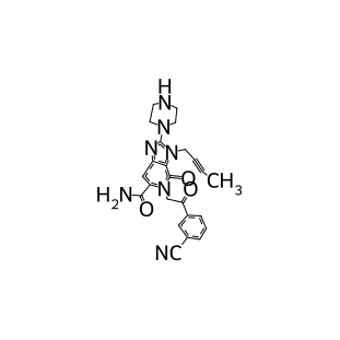 CC#CCn1c(N2CCNCC2)nc2cc(C(N)=O)n(CC(=O)c3cccc(C#N)c3)c(=O)c21